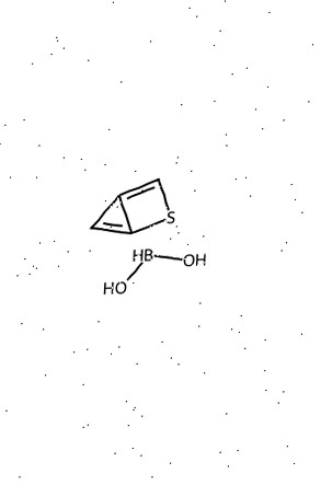 OBO.c1sc2cc1-2